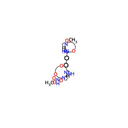 COC(=O)N[C@H]1COCCCCOc2cc(-c3ccc(-c4nc5[nH]c4COCCCC[C@H](C)C(=O)N4CCC[C@@H]54)cc3)ccc2-c2c[nH]c(n2)[C@@H]2CCCN2C1=O